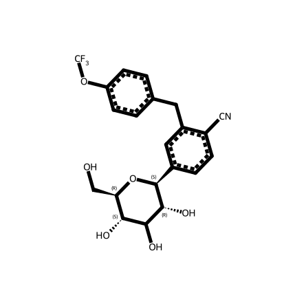 N#Cc1ccc([C@@H]2O[C@H](CO)[C@@H](O)C(O)[C@H]2O)cc1Cc1ccc(OC(F)(F)F)cc1